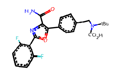 CC(C)(C)N(Cc1ccc(-c2oc(-c3c(F)cccc3F)nc2C(N)=O)cc1)C(=O)O